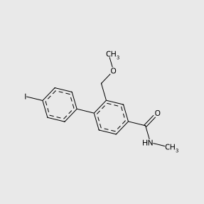 CNC(=O)c1ccc(-c2ccc(I)cc2)c(COC)c1